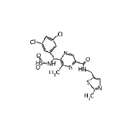 Cc1ncc(CNC(=O)c2cnc(C(N[SH](=O)=O)c3cc(Cl)cc(Cl)c3)c(C)n2)s1